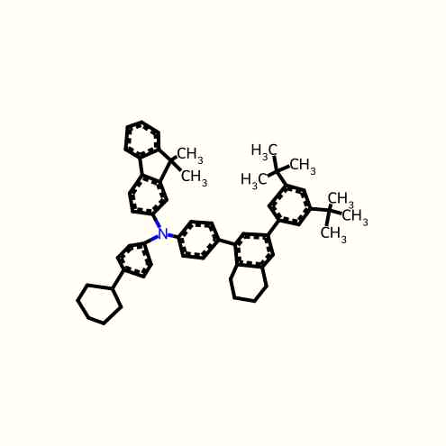 CC(C)(C)c1cc(-c2cc3c(c(-c4ccc(N(c5ccc(C6CCCCC6)cc5)c5ccc6c(c5)C(C)(C)c5ccccc5-6)cc4)c2)CCCC3)cc(C(C)(C)C)c1